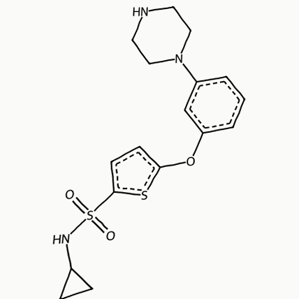 O=S(=O)(NC1CC1)c1ccc(Oc2cccc(N3CCNCC3)c2)s1